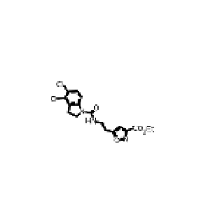 CCOC(=O)c1cc(CCNC(=O)N2CCc3c2ccc(Cl)c3Cl)on1